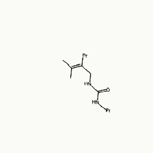 CC(C)=C(CNC(=O)NC(C)C)C(C)C